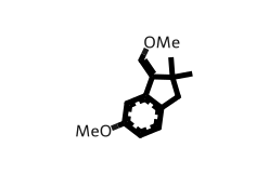 COC=C1c2cc(OC)ccc2CC1(C)C